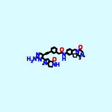 CN1CCN(Cc2ccc(NC(=O)Cc3cccc(C#Cc4cnc(N)nc4-c4cc5c(n4C)CCNC5=O)c3)cc2C(F)(F)F)C(=O)C1